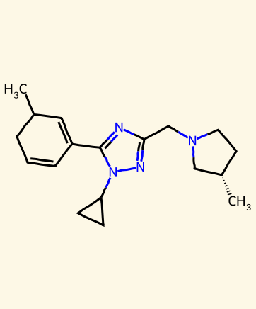 CC1C=C(c2nc(CN3CC[C@H](C)C3)nn2C2CC2)C=CC1